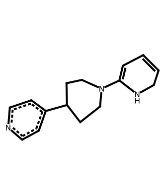 C1=CCNC(N2CCC(c3ccncc3)CC2)=C1